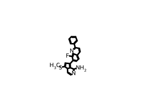 CSC1=CC(c2ccc3ccc(-c4ccccc4)nc3c2F)=C2C(N)=NC=CC12